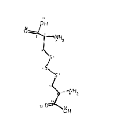 N[C@@H](CSSSC[C@H](N)C(=O)O)C(=O)O